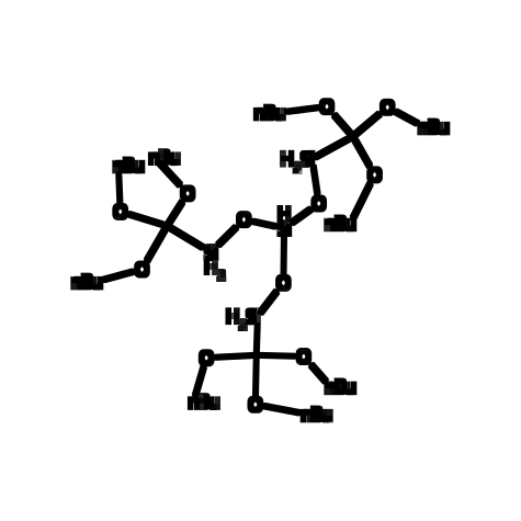 CCCCOC(OCCCC)(OCCCC)[SiH2]O[SiH](O[SiH2]C(OCCCC)(OCCCC)OCCCC)O[SiH2]C(OCCCC)(OCCCC)OCCCC